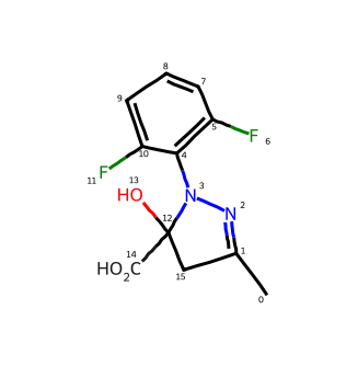 CC1=NN(c2c(F)cccc2F)C(O)(C(=O)O)C1